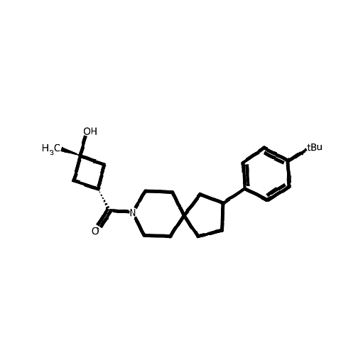 CC(C)(C)c1ccc(C2CCC3(CCN(C(=O)[C@H]4C[C@@](C)(O)C4)CC3)C2)cc1